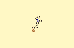 Brc1cccc(-c2cccc(-c3ccc4c(c3)c3ccccc3n4-c3cccc4ccccc34)c2)c1